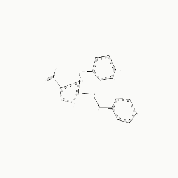 CC(=O)c1onc(OCc2ccccc2)c1Sc1ccccc1